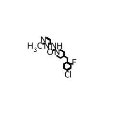 Cc1nccc(NC(=O)N2CCC(Cc3ccc(Cl)cc3F)CC2)n1